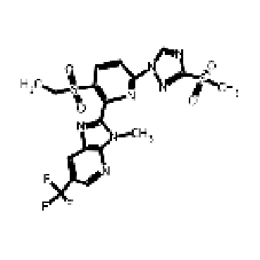 CCS(=O)(=O)c1ccc(-n2cnc(S(C)(=O)=O)n2)nc1-c1nc2cc(C(F)(F)F)cnc2n1C